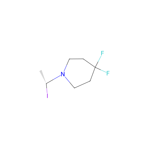 C[C@@H](I)N1CCC(F)(F)CC1